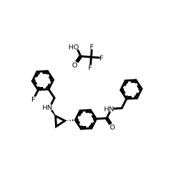 O=C(NCc1ccccc1)c1ccc([C@@H]2C[C@H]2NCc2ccccc2F)cc1.O=C(O)C(F)(F)F